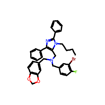 CCCCn1c(-c2ccccc2)nc(-c2ccccc2)c1CN(Cc1ccc(F)c(Br)c1)Cc1ccc2c(c1)OCO2